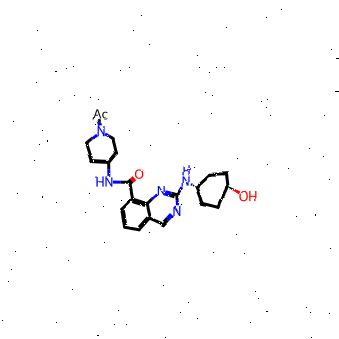 CC(=O)N1CCC(NC(=O)c2cccc3cnc(N[C@H]4CC[C@H](O)CC4)nc23)CC1